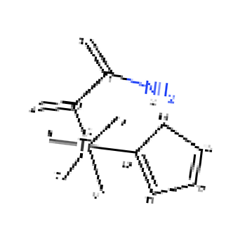 C=C(N)[C](=C)[Ti]([CH3])([CH3])([CH3])([CH3])[C]1=CC=CC1